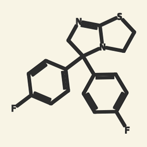 Fc1ccc(C2(c3ccc(F)cc3)CN=C3SCCN32)cc1